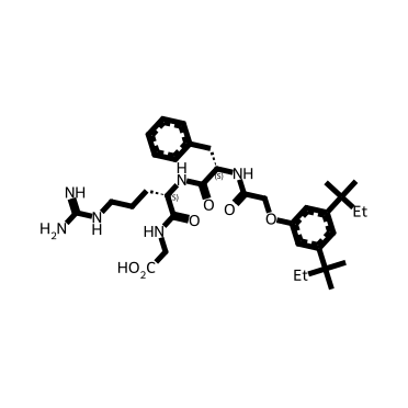 CCC(C)(C)c1cc(OCC(=O)N[C@@H](Cc2ccccc2)C(=O)N[C@@H](CCCNC(=N)N)C(=O)NCC(=O)O)cc(C(C)(C)CC)c1